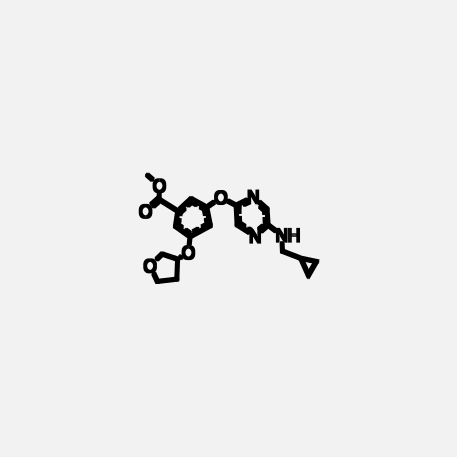 COC(=O)c1cc(Oc2cnc(NCC3CC3)cn2)cc(O[C@H]2CCOC2)c1